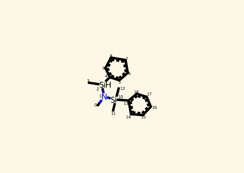 CN([SiH](C)c1ccccc1)[Si](C)(C)c1ccccc1